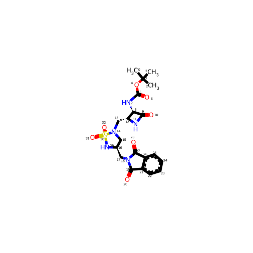 CC(C)(C)OC(=O)N[C@@H]1C(=O)N[C@@H]1CN1C[C@@H](CN2C(=O)c3ccccc3C2=O)NS1(=O)=O